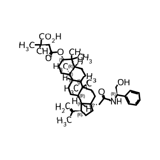 C=C(C)[C@@H]1CC[C@]2(CC(=O)N[C@@H](CO)c3ccccc3)CC[C@]3(C)[C@H](CC[C@@H]4[C@@]5(C)CC[C@H](OC(=O)CC(C)(C)C(=O)O)C(C)(C)[C@@H]5CC[C@]43C)[C@@H]12